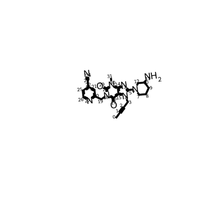 CC#CCn1c(N2CCCC(N)C2)nc2c1c(=O)n(Cc1cc(C#N)ccn1)c(=O)n2C